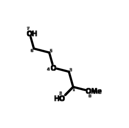 COC(O)COCCO